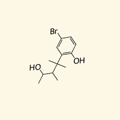 CC(O)C(C)C(C)(C)c1cc(Br)ccc1O